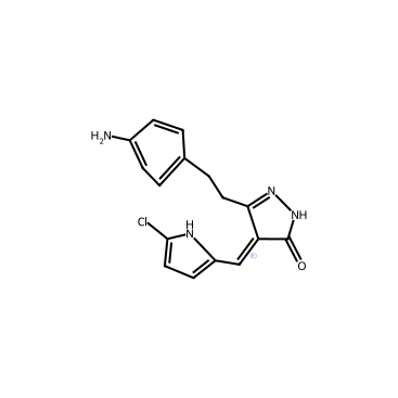 Nc1ccc(CCC2=NNC(=O)/C2=C/c2ccc(Cl)[nH]2)cc1